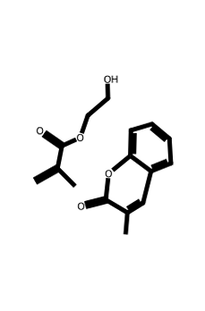 C=C(C)C(=O)OCCO.Cc1cc2ccccc2oc1=O